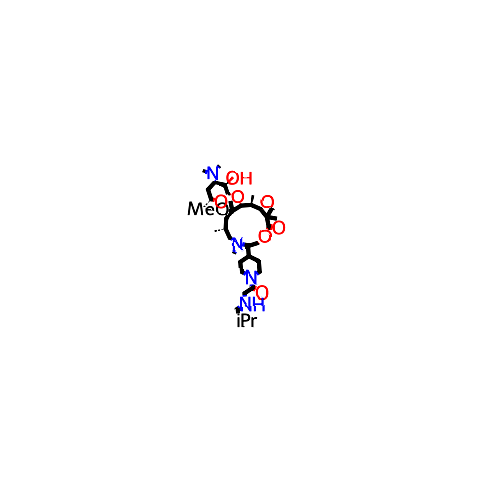 CO[C@]1(C)C[C@@H](C)CN(C)C(C2CCN(C(=O)CNCC(C)C)CC2)COC(=O)C(C)(C)C(=O)[C@H](C)[C@H]1O[C@@H]1O[C@H](C)C[C@H](N(C)C)[C@H]1O